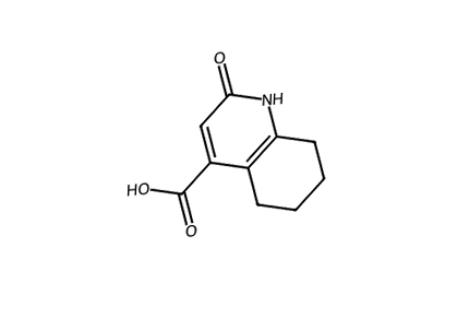 O=C(O)c1cc(=O)[nH]c2c1CCCC2